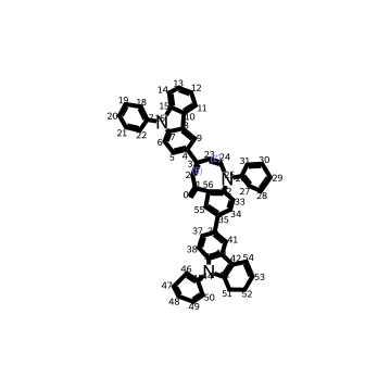 C=C1/C=C(c2ccc3c(c2)c2ccccc2n3-c2ccccc2)\C=C/N(c2ccccc2)c2ccc(-c3ccc4c(c3)c3c(n4-c4ccccc4)CCC=C3)cc21